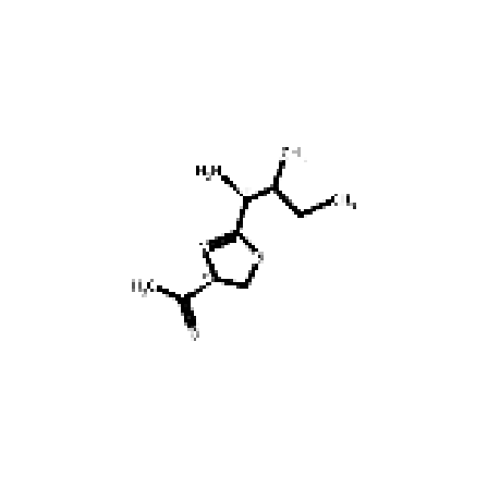 CCC(C)[C@H](N)C1=N[C@H](C(C)=O)CS1